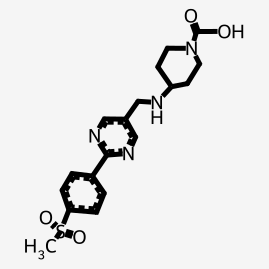 CS(=O)(=O)c1ccc(-c2ncc(CNC3CCN(C(=O)O)CC3)cn2)cc1